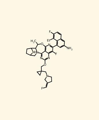 CCc1c(F)ccc2cc(N)cc(-c3nc4c5c(nc(OCC6(CN7CCC(=CF)C7)CC6)nc5c3F)N3CC5CCC(N5)C3C(C)O4)c12